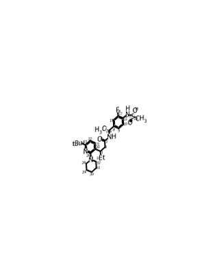 CCC(CC(=O)N[C@H](C)c1ccc(NS(C)(=O)=O)c(F)c1)c1ccc(C(C)(C)C)nc1N1CCCCC1